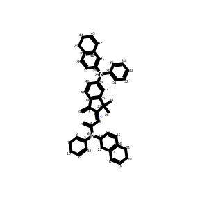 C=C1/C(=C\C(=C)N(C2=CCCC=C2)C2C=CC3=C(C=CCC3)C2)C(C)(C)c2cc(N(c3ccccc3)c3ccc4c(c3)C=CCC4)ccc21